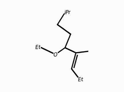 CC/C=C(\C)C(CCC(C)C)OCC